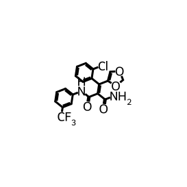 NC(=O)C(C(=O)Nc1cccc(C(F)(F)F)c1)=C(C1=COCO1)c1ccccc1Cl